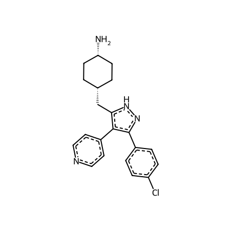 N[C@H]1CC[C@@H](Cc2[nH]nc(-c3ccc(Cl)cc3)c2-c2ccncc2)CC1